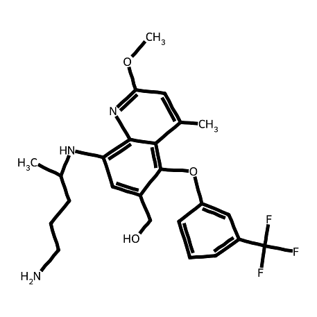 COc1cc(C)c2c(Oc3cccc(C(F)(F)F)c3)c(CO)cc(NC(C)CCCN)c2n1